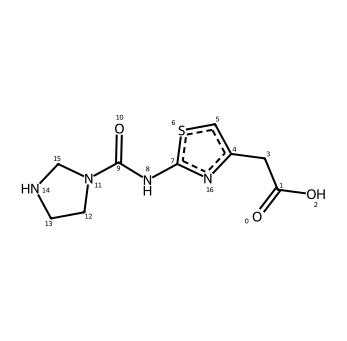 O=C(O)Cc1csc(NC(=O)N2CCNC2)n1